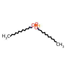 CCCCCCCCCCCC/C=C/O[PH](=O)O/C=C/CCCCCCCCCCCC